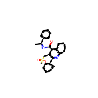 CC(NC(=O)c1c(CS(C)(=O)=O)c(-c2ccccc2)nc2ccccc12)c1ccccc1